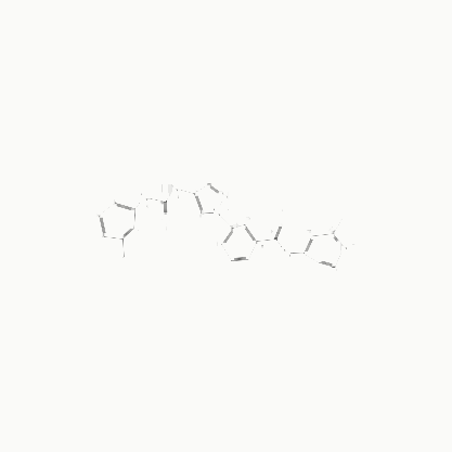 Cc1cccc(NC(=O)Nc2cnn(-c3cccc(C(=O)Nc4ccnc(C)c4)c3)c2)c1